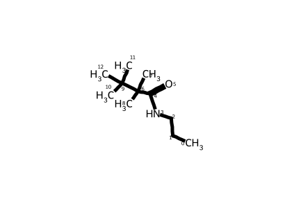 CCCNC(=O)C(C)(C)C(C)(C)C